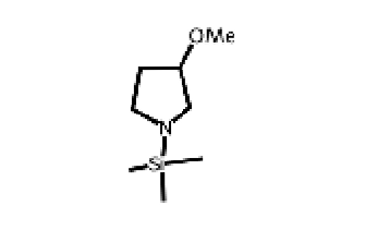 COC1CCN([Si](C)(C)C)C1